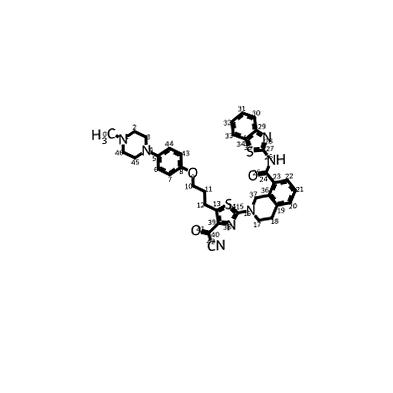 CN1CCN(c2ccc(OCCCc3sc(N4CCc5cccc(C(=O)Nc6nc7ccccc7s6)c5C4)nc3C(=O)C#N)cc2)CC1